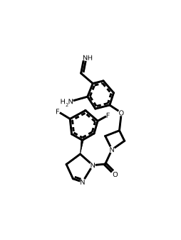 N=Cc1ccc(OC2CN(C(=O)N3N=CC[C@H]3c3cc(F)cc(F)c3)C2)cc1N